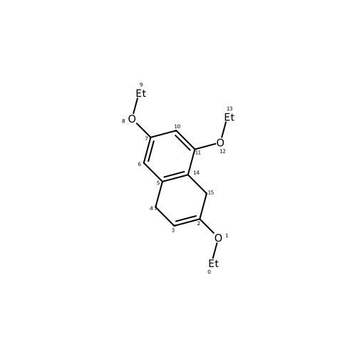 CCOC1=C[CH]c2cc(OCC)cc(OCC)c2C1